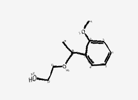 COc1ccccc1C(C)OCCO